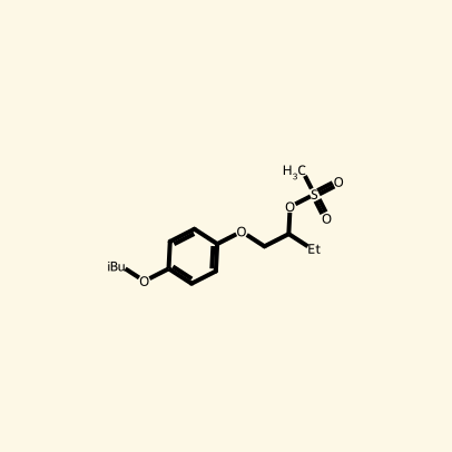 CCC(C)Oc1ccc(OCC(CC)OS(C)(=O)=O)cc1